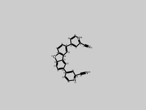 N#Cc1cc(-c2ccc3oc4ccc(-c5ccnc(C#N)c5)cc4c3c2)ccn1